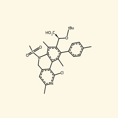 Cc1ccc(-c2c(C)c3c(c(C)c2[C@H](OC(C)(C)C)C(=O)O)N(S(C)(=O)=O)Cc2cc(C)nc(Cl)c2-3)cc1